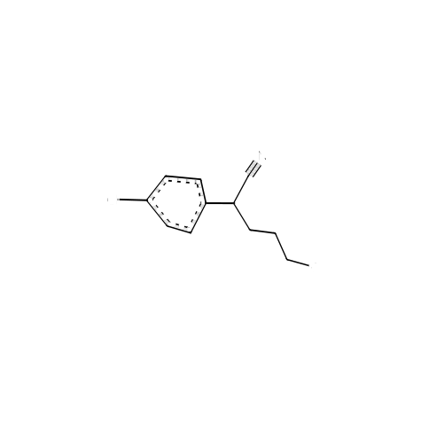 N#CC(CCCCl)c1ccc(Cl)cc1